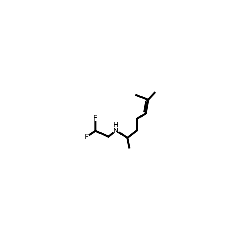 CC(C)=CCCC(C)NCC(F)F